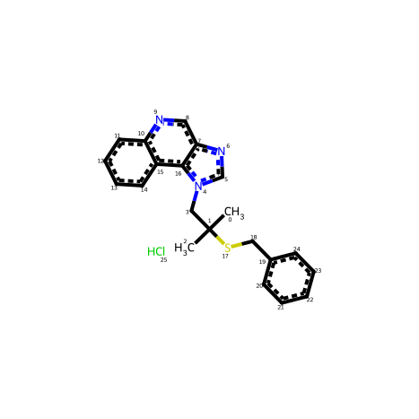 CC(C)(Cn1cnc2cnc3ccccc3c21)SCc1ccccc1.Cl